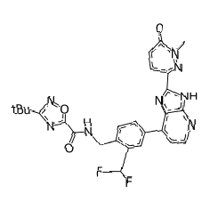 Cn1nc(-c2nc3c(-c4ccc(CNC(=O)c5nc(C(C)(C)C)no5)c(C(F)F)c4)ccnc3[nH]2)ccc1=O